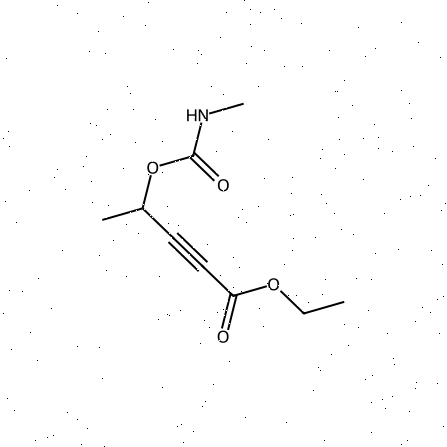 CCOC(=O)C#CC(C)OC(=O)NC